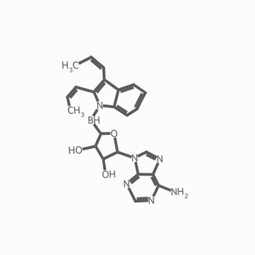 C/C=C\c1c(/C=C\C)n(BC2OC(n3cnc4c(N)ncnc43)C(O)C2O)c2ccccc12